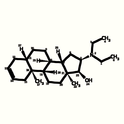 CCN(CC)[C@H]1C[C@H]2[C@@H]3CC[C@H]4CC=CC[C@]4(C)[C@H]3CC[C@]2(C)[C@@H]1O